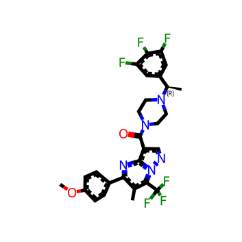 COc1ccc(-c2nc3c(C(=O)N4CCN([C@H](C)c5cc(F)c(F)c(F)c5)CC4)cnn3c(C(F)(F)F)c2C)cc1